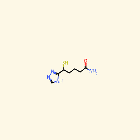 NC(=O)CCCC(S)c1nnc[nH]1